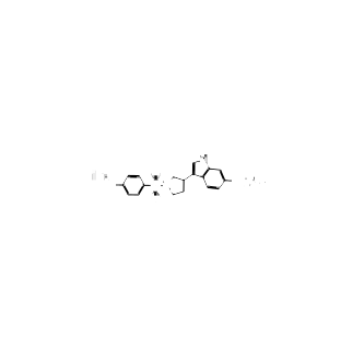 CCn1cc(C2CCN(S(=O)(=O)c3ccc(OC(C)C)cc3)C2)c2ccc(OC)cc21